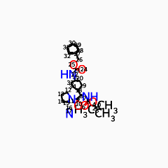 CC(C)(C)OC(=O)N[C@H](C(=O)N1CCC[C@H]1C#N)C1CCC(NC(=O)OCc2ccccc2)CC1